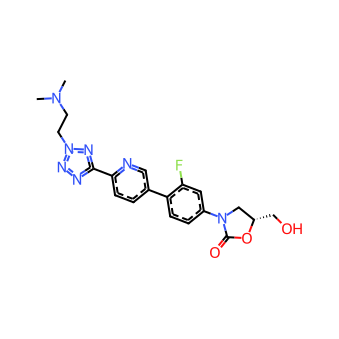 CN(C)CCn1nnc(-c2ccc(-c3ccc(N4C[C@H](CO)OC4=O)cc3F)cn2)n1